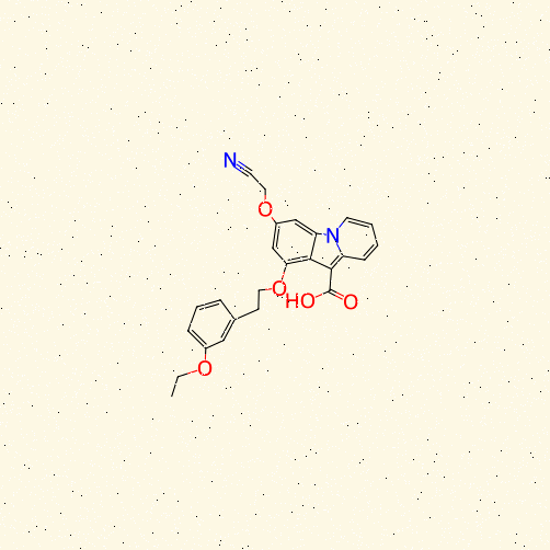 CCOc1cccc(CCOc2cc(OCC#N)cc3c2c(C(=O)O)c2ccccn23)c1